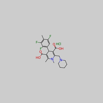 CC1=C(C(=O)O)C(c2cc(F)c(C)c(F)c2F)C(C(=O)O)=C(CN2CCCCC2)N1C.Cl